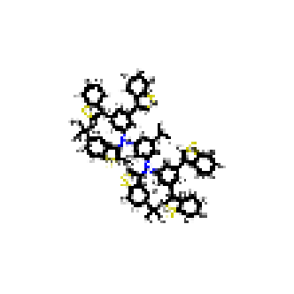 CC(C)c1cc2c3c(c1)N(c1cc(-c4csc5ccccc45)cc(-c4csc5ccccc45)c1)c1c(sc4ccc(C(C)(C)C)cc14)B3c1sc3ccc(C(C)(C)C)cc3c1N2c1cc(-c2csc3ccccc23)cc(-c2csc3ccccc23)c1